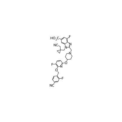 N#CCC1(Cn2c(CN3CCC(Oc4ccc(F)c(OCc5ccc(C#N)cc5F)n4)CC3)nc3c(F)cc(C(=O)O)cc32)CC1